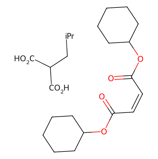 CC(C)CC(C(=O)O)C(=O)O.O=C(/C=C\C(=O)OC1CCCCC1)OC1CCCCC1